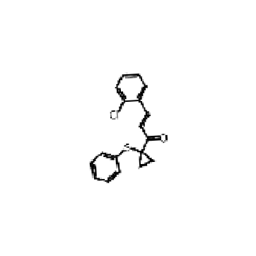 O=C(C=Cc1ccccc1Cl)C1(Sc2ccccc2)CC1